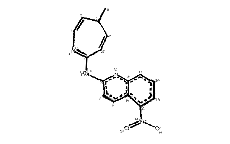 CC1C=CN=C(Nc2ccc3c([N+](=O)[O-])cccc3n2)C=C1